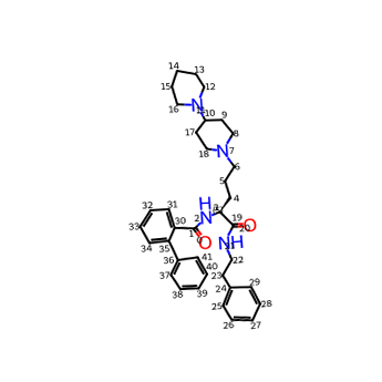 O=C(N[C@@H](CCCN1CCC(N2CCCCC2)CC1)C(=O)NCCc1ccccc1)c1ccccc1-c1ccccc1